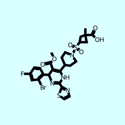 COC(=O)C1=C(C2CCN(S(=O)(=O)C3CC(C)(C(=O)O)C3)CC2)NC(c2nccs2)=NC1c1ccc(F)cc1Br